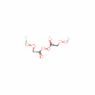 O=C(COOF)OOC(=O)COOF